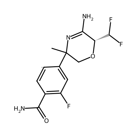 CC1(c2[c]cc(C(N)=O)c(F)c2)CO[C@@H](C(F)F)C(N)=N1